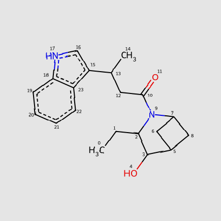 CCC1C(O)C2CC(C2)N1C(=O)CC(C)c1c[nH]c2ccccc12